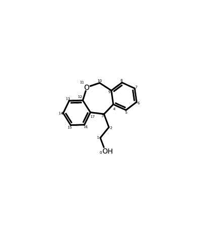 OCCC1c2ccccc2COc2ccccc21